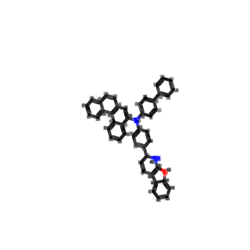 C1=CC(c2ccc(N(c3ccc(-c4ccccc4)cc3)c3cc4ccc5ccccc5c4c4ccccc34)cc2)Nc2oc3ccccc3c21